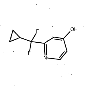 Oc1ccnc(C(F)(F)C2CC2)c1